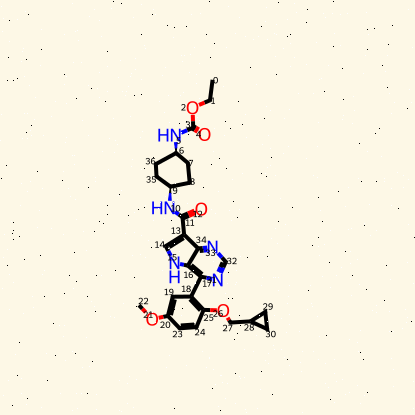 CCOC(=O)N[C@H]1CC[C@@H](NC(=O)c2c[nH]c3c(-c4cc(OC)ccc4OCC4CC4)ncnc23)CC1